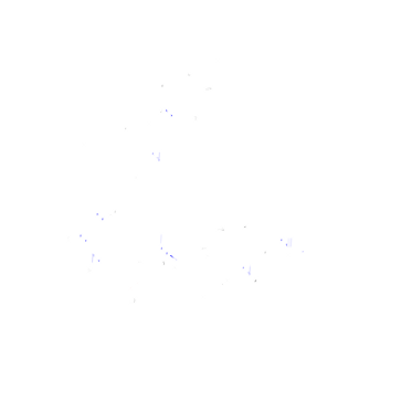 Cc1cc(N2CC3CC3C2)ncc1Cn1cc(C(=O)N[C@@H]2CCc3nc(N)ccc32)nn1